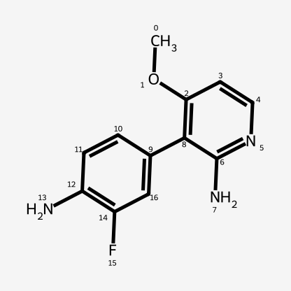 COc1ccnc(N)c1-c1ccc(N)c(F)c1